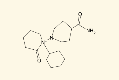 NC(=O)C1CCN([N+]2(C3CCCCC3)CCC[CH]C2=O)CC1